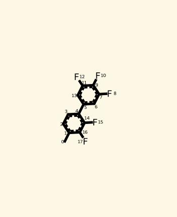 Cc1ccc(-c2cc(F)c(F)c(F)c2)c(F)c1F